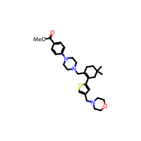 COC(=O)c1ccc(N2CCN(CC3=C(c4cc(CN5CCOCC5)cs4)CC(C)(C)CC3)CC2)cc1